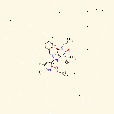 CCCn1c(=O)c2c(nc(-c3cc(F)c(C)nc3OCC3CC3)n2Cc2ccccc2)n(C(C)C)c1=O